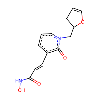 O=C(/C=C/c1cccn(CC2CC=CO2)c1=O)NO